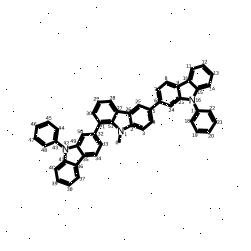 Cn1c2ccc(-c3ccc4c5ccccc5n(-c5ccccc5)c4c3)cc2c2cccc(-c3ccc4c5ccccc5n(-c5ccccc5)c4c3)c21